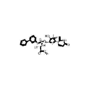 C=C1NC(=O)C=CN1[C@@H]1O[C@H](COP(=O)(N[C@@H](CC)C(=O)OC(C)C)Oc2cccc(-c3ccccc3)c2)[C@@H](O)[C@@]1(C)F